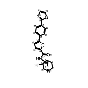 O=C(N[C@H]1CN2CCC1CC2)c1ccc(-c2ccc(-c3ncco3)cc2)o1